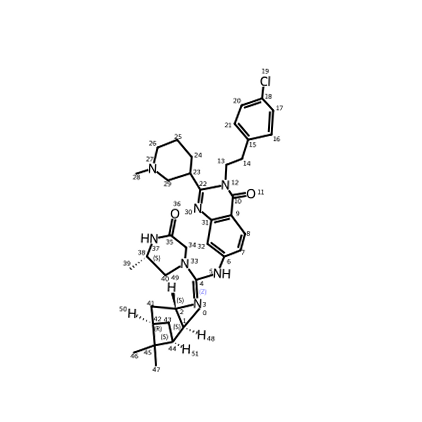 C[C@@H]1[C@@H](/N=C(/Nc2ccc3c(=O)n(CCc4ccc(Cl)cc4)c(C4CCCN(C)C4)nc3c2)N2CC(=O)N[C@@H](C)C2)C[C@H]2C[C@@H]1C2(C)C